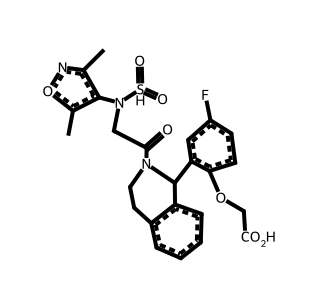 Cc1noc(C)c1N(CC(=O)N1CCc2ccccc2C1c1cc(F)ccc1OCC(=O)O)[SH](=O)=O